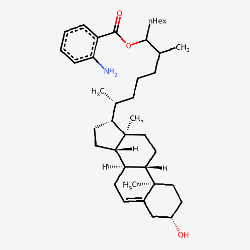 CCCCCCC(OC(=O)c1ccccc1N)C(C)CCC[C@@H](C)[C@H]1CC[C@H]2[C@@H]3CC=C4C[C@@H](O)CC[C@]4(C)[C@H]3CC[C@]12C